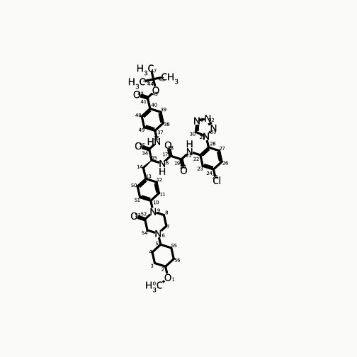 COC1CCC(N2CCN(c3ccc(C[C@H](NC(=O)C(=O)Nc4cc(Cl)ccc4-n4cnnn4)C(=O)Nc4ccc(C(=O)OC(C)(C)C)cc4)cc3)C(=O)C2)CC1